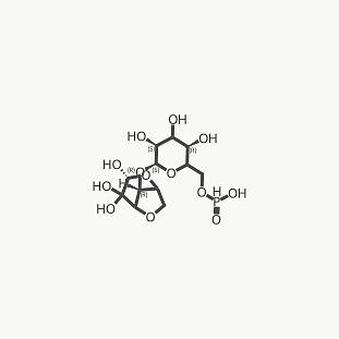 O=[PH](O)OCC1O[C@@H](O[C@@H]2C3COC2C(O)(O)[C@H](O)O3)[C@@H](O)C(O)[C@H]1O